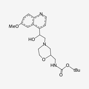 COc1ccc2nccc(C(O)CN3CCOC(CNC(=O)OC(C)(C)C)C3)c2c1